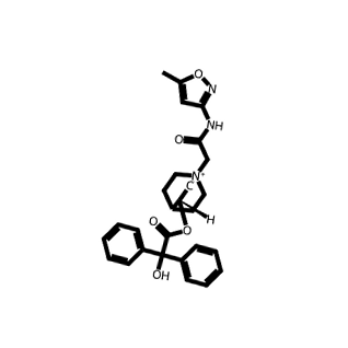 Cc1cc(NC(=O)C[N+]23CCC(CC2)[C@@H](OC(=O)C(O)(c2ccccc2)c2ccccc2)C3)no1